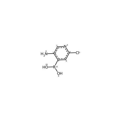 Nc1cnc(Cl)cc1B(O)O